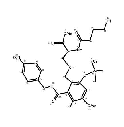 COC(=O)[C@H](CSCc1c(O[Si](C)(C)C(C)(C)C)cc(OC)c(C)c1C(=O)OCc1ccc([N+](=O)[O-])cc1)NC(=O)CCCO